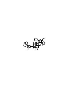 COc1cc(Nc2c(C#N)cnc3cc(-c4csc(C5OCCO5)c4)sc23)c(Cl)cc1Cl